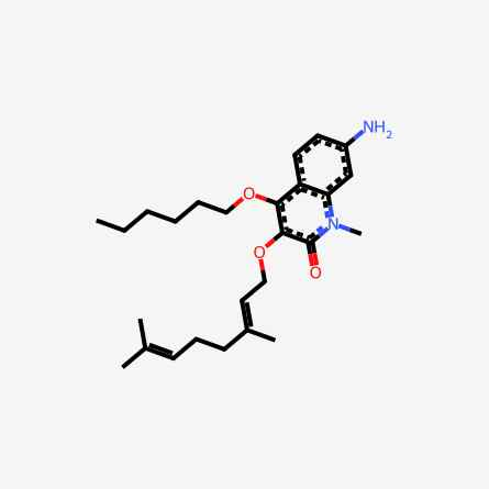 CCCCCCOc1c(OC/C=C(\C)CCC=C(C)C)c(=O)n(C)c2cc(N)ccc12